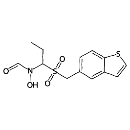 CCC(N(O)C=O)S(=O)(=O)Cc1ccc2sccc2c1